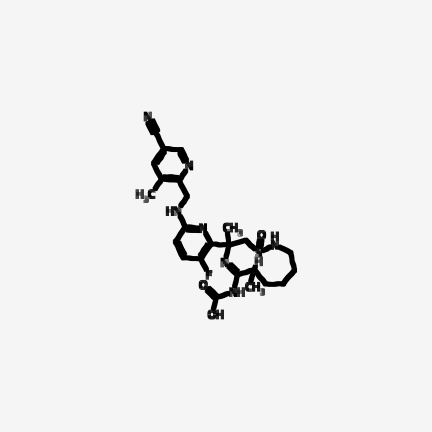 Cc1cc(C#N)cnc1CNc1ccc(F)c(C2(C)C[SH]3(=O)NCCCCC3(C)C(NC(=O)O)=N2)n1